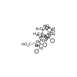 CC(=O)O[C@H]1C(=O)[C@@]2(C)C([C@H](OC(=O)c3ccccc3)[C@]3(O)C[C@H](O[C@H](O)[C@H](OC(=O)CCC(=O)O)[C@@H](NC(=O)c4ccccc4)c4ccccc4)C(C)=C1C3(C)C)[C@]1(OC(C)=O)CO[C@@H]1C[C@@H]2O